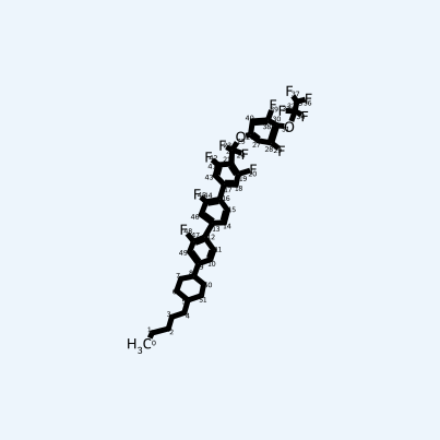 CCCCCC1CCC(c2ccc(-c3ccc(-c4cc(F)c(C(F)(F)Oc5cc(F)c(OC(F)(F)C(F)F)c(F)c5)c(F)c4)c(F)c3)c(F)c2)CC1